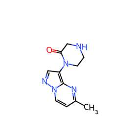 Cc1ccn2ncc(N3CCNCC3=O)c2n1